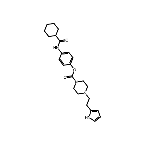 O=C(Nc1ccc(OC(=O)N2CCN(CCc3ccc[nH]3)CC2)cc1)C1CCCCC1